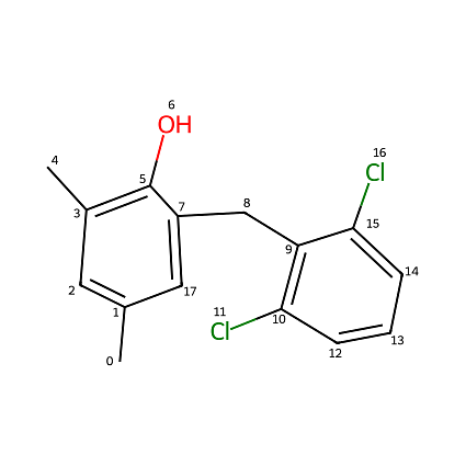 Cc1cc(C)c(O)c(Cc2c(Cl)cccc2Cl)c1